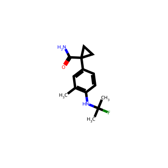 Cc1cc(C2(C(N)=O)CC2)ccc1NC(C)(C)F